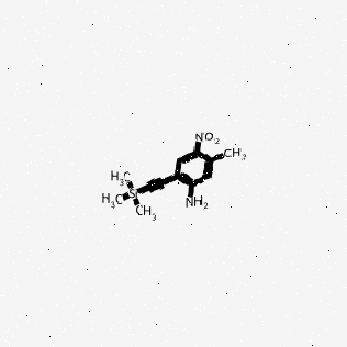 Cc1cc(N)c(C#C[Si](C)(C)C)cc1[N+](=O)[O-]